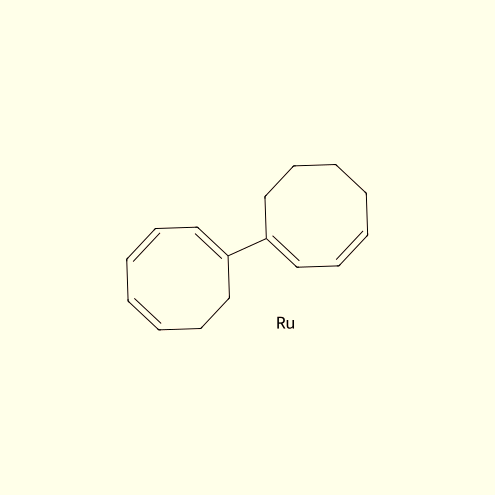 C1=CC=C(C2=CC=CCCCC2)CCC=C1.[Ru]